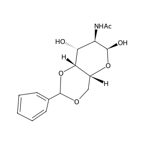 CC(=O)N[C@@H]1[C@@H](O)[C@H]2OC(c3ccccc3)OC[C@H]2O[C@@H]1O